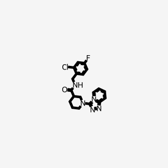 O=C(NCc1ccc(F)cc1Cl)C1CCCN(c2nnc3ccccn23)C1